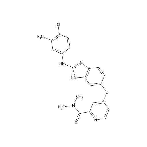 CN(C)C(=O)c1cc(Oc2ccc3nc(Nc4ccc(Cl)c(C(F)(F)F)c4)[nH]c3c2)ccn1